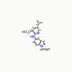 CCCCCCCn1ccc2cc(Nc3ncc(C4CC4)cc3C(=O)O)ccc21